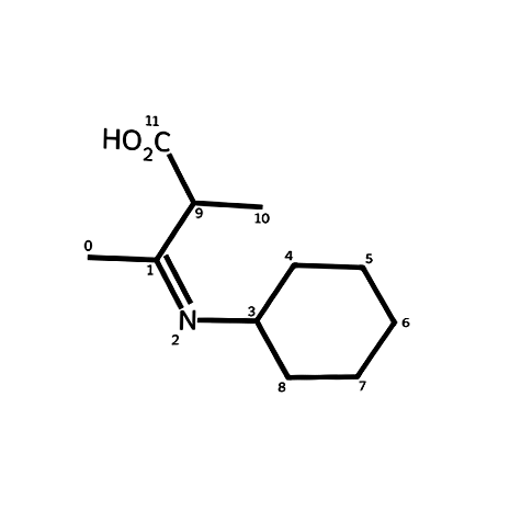 CC(=NC1CCCCC1)C(C)C(=O)O